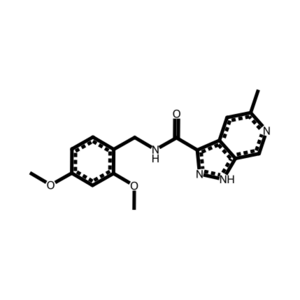 COc1ccc(CNC(=O)c2n[nH]c3cnc(C)cc23)c(OC)c1